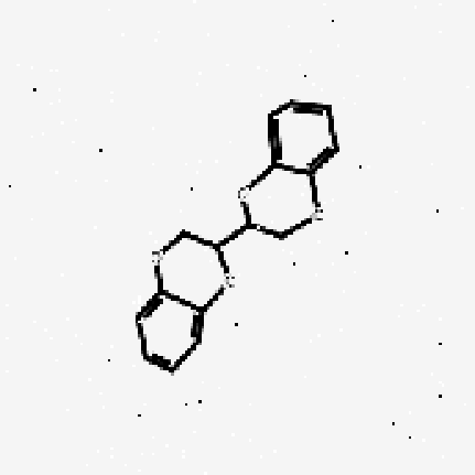 [C]1Oc2ccccc2OC1C1COc2ccccc2O1